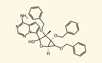 C[C@]1(OCc2ccccc2)C(O)(c2ccc3c(N)ncnn23)O[C@@H]2C(OCc3ccccc3)[C@@]21OCc1ccccc1